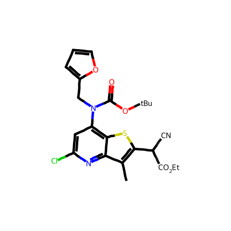 CCOC(=O)C(C#N)c1sc2c(N(Cc3ccco3)C(=O)OC(C)(C)C)cc(Cl)nc2c1C